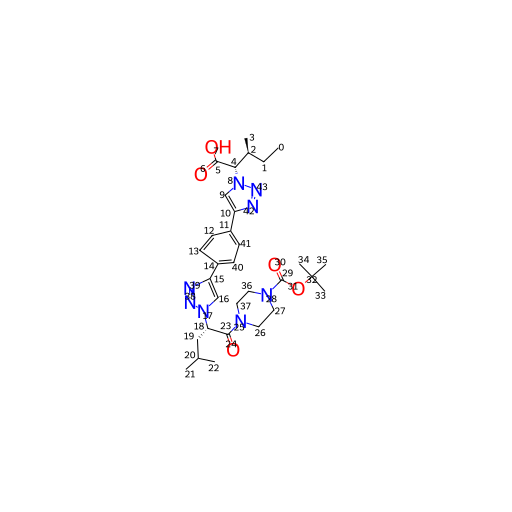 CC[C@H](C)[C@@H](C(=O)O)n1cc(-c2ccc(-c3cn([C@@H](CC(C)C)C(=O)N4CCN(C(=O)OC(C)(C)C)CC4)nn3)cc2)nn1